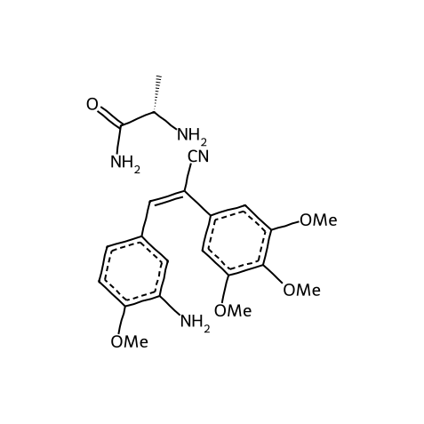 COc1ccc(C=C(C#N)c2cc(OC)c(OC)c(OC)c2)cc1N.C[C@H](N)C(N)=O